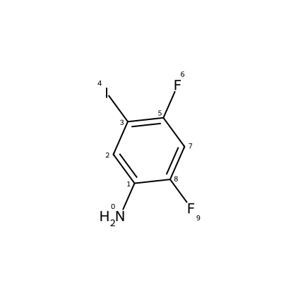 Nc1cc(I)c(F)cc1F